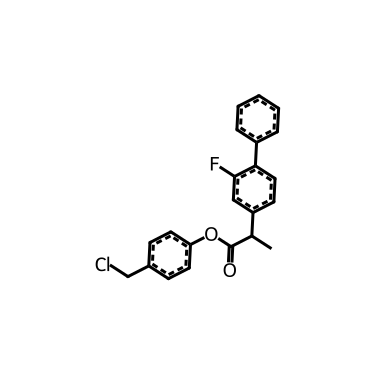 CC(C(=O)Oc1ccc(CCl)cc1)c1ccc(-c2ccccc2)c(F)c1